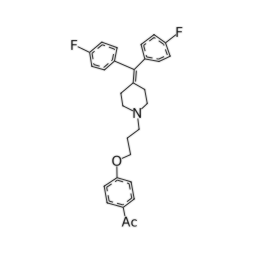 CC(=O)c1ccc(OCCCN2CCC(=C(c3ccc(F)cc3)c3ccc(F)cc3)CC2)cc1